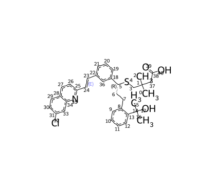 CC(C)(CS[C@H](CCc1ccccc1C(C)(C)O)c1cccc(/C=C/c2ccc3ccc(Cl)cc3n2)c1)CC(=O)O